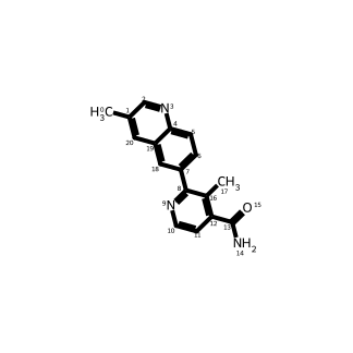 Cc1cnc2ccc(-c3nccc(C(N)=O)c3C)cc2c1